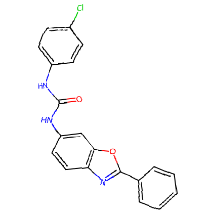 O=C(Nc1ccc(Cl)cc1)Nc1ccc2nc(-c3ccccc3)oc2c1